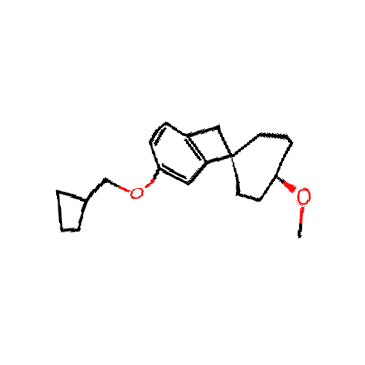 CO[C@H]1CC[C@]2(CC1)Cc1ccc(OCC3CCC3)cc12